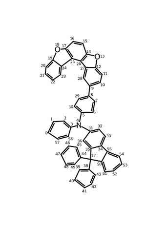 c1ccc(N(c2ccc(-c3ccc4oc5ccc6oc7ccccc7c6c5c4c3)cc2)c2ccc3c(c2)C(c2ccccc2)(c2ccccc2)c2ccccc2-3)cc1